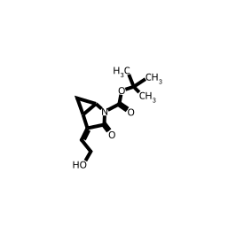 CC(C)(C)OC(=O)N1C(=O)/C(=C\CO)C2CC21